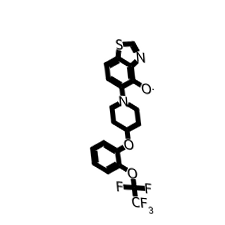 [O]c1c(N2CCC(Oc3ccccc3OC(F)(F)C(F)(F)F)CC2)ccc2scnc12